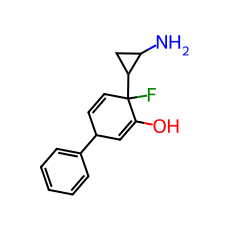 NC1CC1C1(F)C=CC(c2ccccc2)C=C1O